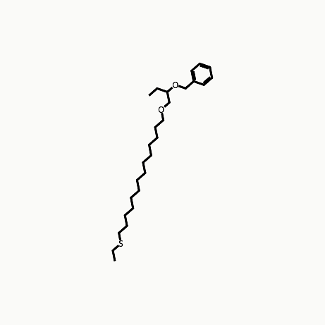 CCSCCCCCCCCCCCCCCOCC(CC)OCc1ccccc1